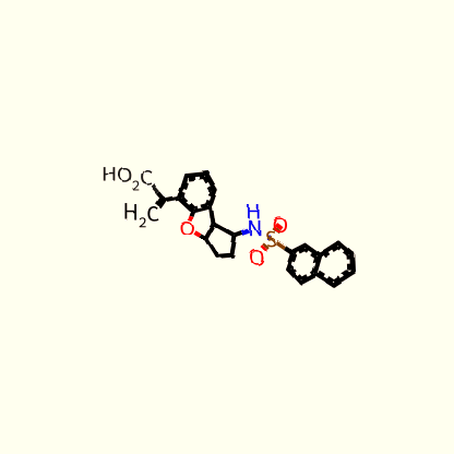 C=C(C(=O)O)c1cccc2c1OC1CCC(NS(=O)(=O)c3ccc4ccccc4c3)C21